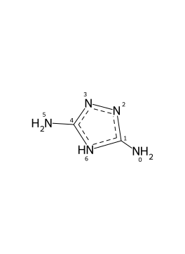 Nc1nnc(N)[nH]1